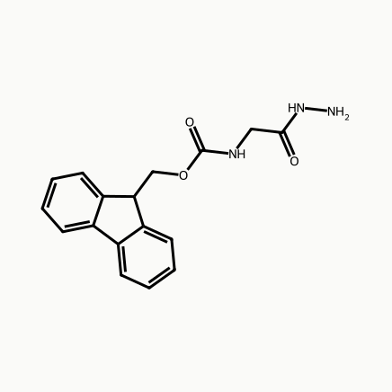 NNC(=O)CNC(=O)OCC1c2ccccc2-c2ccccc21